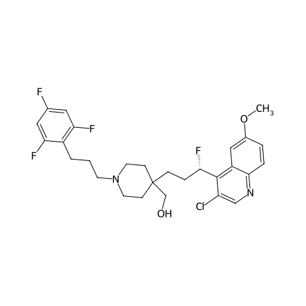 COc1ccc2ncc(Cl)c([C@@H](F)CCC3(CO)CCN(CCCc4c(F)cc(F)cc4F)CC3)c2c1